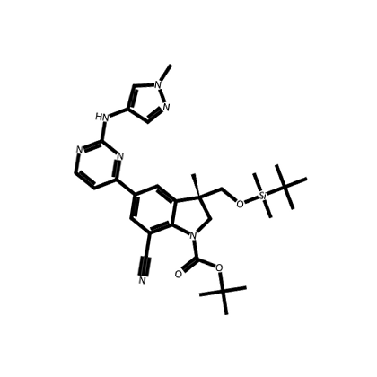 Cn1cc(Nc2nccc(-c3cc(C#N)c4c(c3)[C@](C)(CO[Si](C)(C)C(C)(C)C)CN4C(=O)OC(C)(C)C)n2)cn1